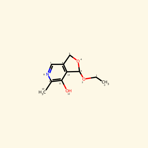 CCOC1OCc2cnc(C)c(O)c21